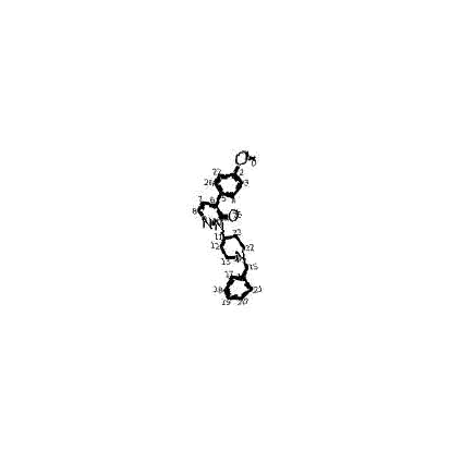 COc1ccc(-c2ccnn(C3CCN(Cc4ccccc4)CC3)c2=O)cc1